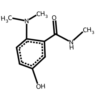 CNC(=O)c1cc(O)ccc1N(C)C